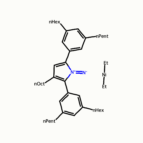 CCCCCCCCC1=C(c2cc(CCCCC)cc(CCCCCC)c2)[N+](=[N-])C(c2cc(CCCCC)cc(CCCCCC)c2)=C1.C[CH2][Ni][CH2]C